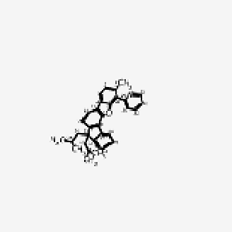 Cc1ccc2c(oc3c4c(ccc32)C(CC(C)C)(CC(C)C)c2ccccc2-4)c1-c1ccccn1